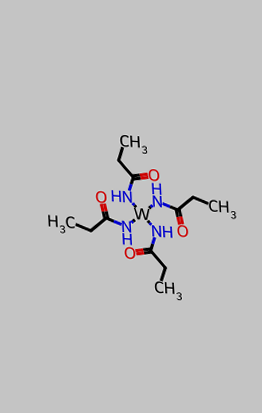 CCC(=O)[NH][W]([NH]C(=O)CC)([NH]C(=O)CC)[NH]C(=O)CC